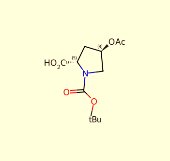 CC(=O)O[C@@H]1C[C@@H](C(=O)O)N(C(=O)OC(C)(C)C)C1